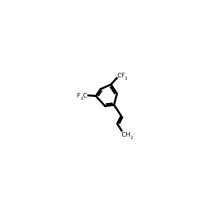 [CH2]C=Cc1cc(C(F)(F)F)cc(C(F)(F)F)c1